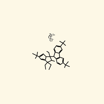 CCC1(CC)C2=CC(C(C)(C)C)=CC2C(CC)(C2c3ccc(C(C)(C)C)cc3-c3cc(C(C)(C)C)ccc32)C1C.[Cl-].[Cl-].[Zr+2]